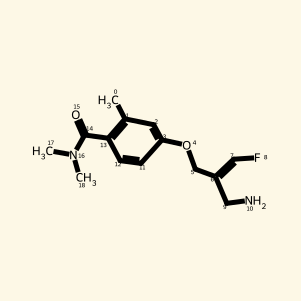 Cc1cc(OCC(=CF)CN)ccc1C(=O)N(C)C